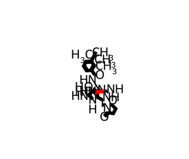 Cc1c(C(=O)N[C@H]2CN3C(=N)N[C@@H](CN4C(=O)CCC4=O)C4NC(=N)NC43C2(O)O)cccc1C(C)(C)C